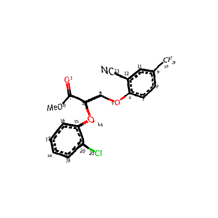 COC(=O)C(COc1ccc(C(F)(F)F)cc1C#N)Oc1ccccc1Cl